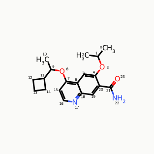 CC(C)Oc1cc2c(OC(C)C3CCC3)ccnc2cc1C(N)=O